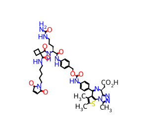 Cc1sc2c(c1C)C(c1ccc(NC(=O)OCc3ccc(NC(=O)[C@H](CCCNC(N)=O)NC(=O)C4(C(=O)NCCCCCN5C(=O)C=CC5=O)CCC4)cc3)cc1)=N[C@@H](CC(=O)O)c1nnc(C)n1-2